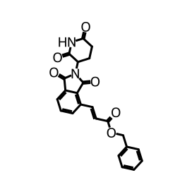 O=C1CCC(N2C(=O)c3cccc(/C=C/C(=O)OCc4ccccc4)c3C2=O)C(=O)N1